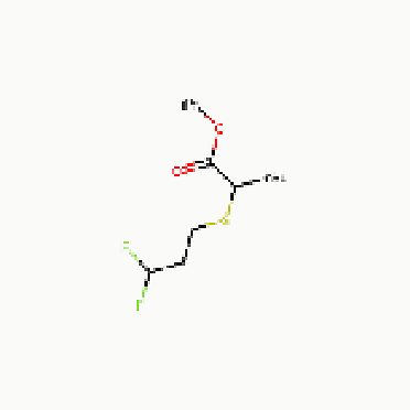 CCCCC(SCCC(F)F)C(=O)OC(C)C